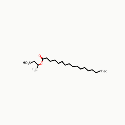 CCCCCCCCCCCCCCCCCCCCCCCCC(=O)OC(CS(=O)(=O)O)C(F)(F)F